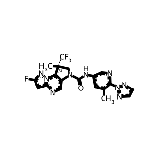 Cc1cc(NC(=O)N2C[C@@](C)(C(F)(F)F)c3c2cnc2cc(F)nn32)cnc1-n1nccn1